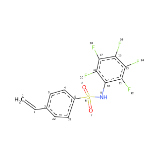 C=Cc1ccc(S(=O)(=O)Nc2c(F)c(F)c(F)c(F)c2F)cc1